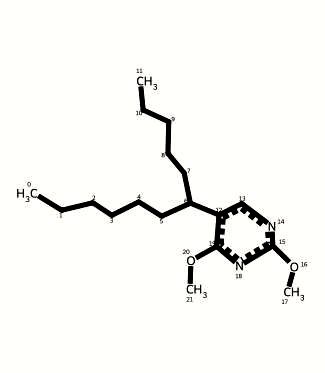 CCCCCCC(CCCCC)c1cnc(OC)nc1OC